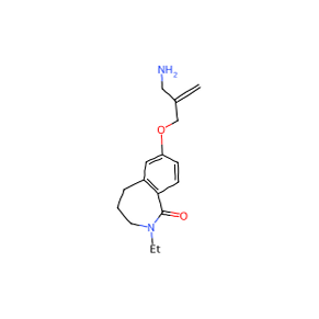 C=C(CN)COc1ccc2c(c1)CCCN(CC)C2=O